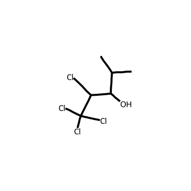 CC(C)C(O)C(Cl)C(Cl)(Cl)Cl